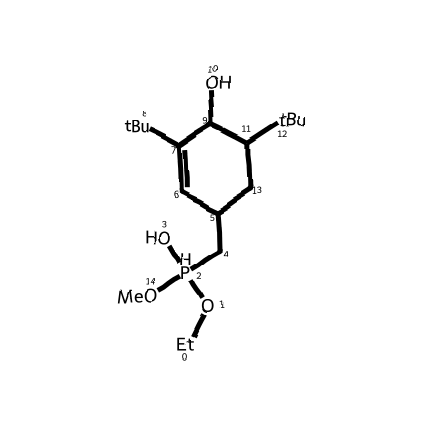 CCO[PH](O)(CC1C=C(C(C)(C)C)C(O)C(C(C)(C)C)C1)OC